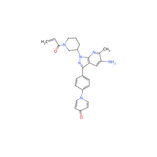 C=CC(=O)N1CCCC(n2nc(-c3ccc(-n4ccc(=O)cc4)cc3)c3cc(N)c(C)nc32)C1